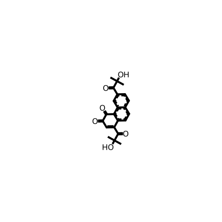 CC(C)(O)C(=O)C1=CC(=O)C(=O)c2c1ccc1ccc(C(=O)C(C)(C)O)cc21